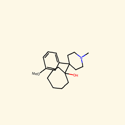 COc1cccc(C2(C3(O)CCCCCC3)CCN(C)CC2)c1